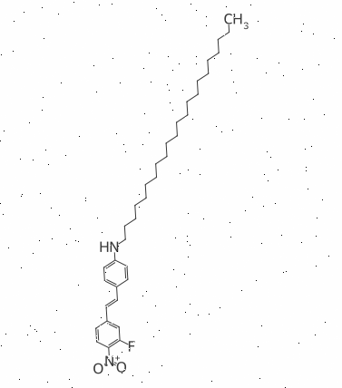 CCCCCCCCCCCCCCCCCCCCCCNc1ccc(C=Cc2ccc([N+](=O)[O-])c(F)c2)cc1